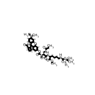 CCC(=O)SC[C@@H](C(=O)NC(CCCCNC(=O)OC(C)(C)C)C(=O)OC)N(C)C(=O)Oc1ccc2c(c1)Oc1cc(N(C)C)ccc1C21OC(=O)c2ccccc21